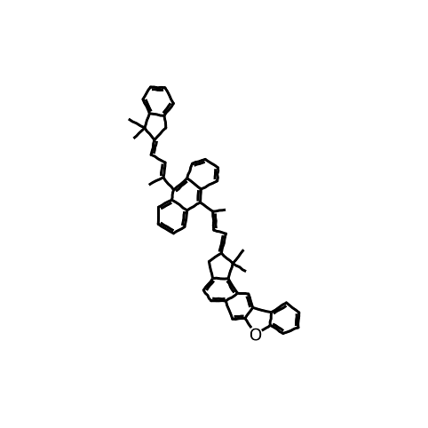 C/C(=C\C=C1/Cc2ccccc2C1(C)C)c1c2ccccc2c(/C(C)=C/C=C2\Cc3ccc4cc5oc6ccccc6c5cc4c3C2(C)C)c2ccccc12